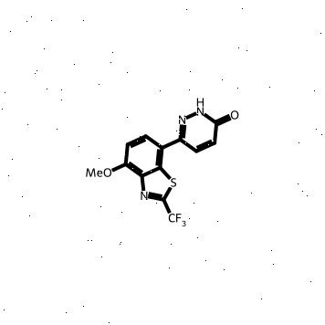 COc1ccc(-c2ccc(=O)[nH]n2)c2sc(C(F)(F)F)nc12